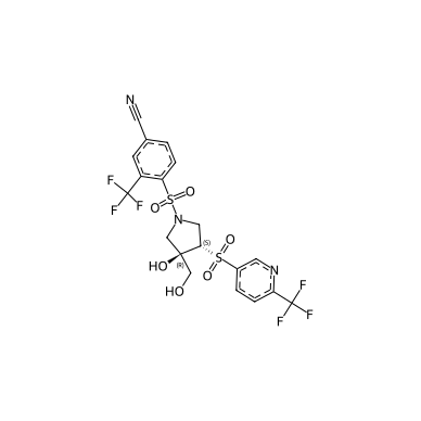 N#Cc1ccc(S(=O)(=O)N2C[C@H](S(=O)(=O)c3ccc(C(F)(F)F)nc3)[C@](O)(CO)C2)c(C(F)(F)F)c1